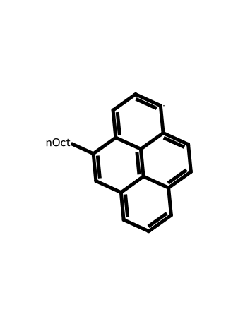 CCCCCCCCc1cc2cccc3ccc4[c]ccc1c4c32